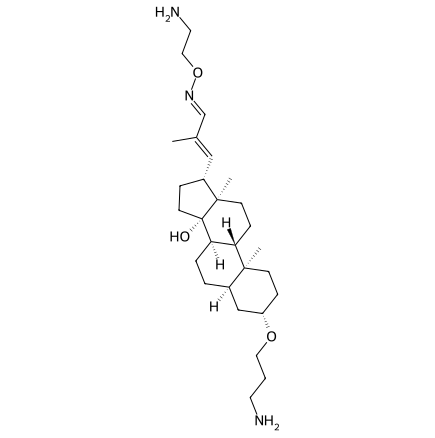 CC(/C=N/OCCN)=C\[C@H]1CC[C@]2(O)[C@@H]3CC[C@@H]4C[C@@H](OCCCN)CC[C@]4(C)[C@H]3CC[C@]12C